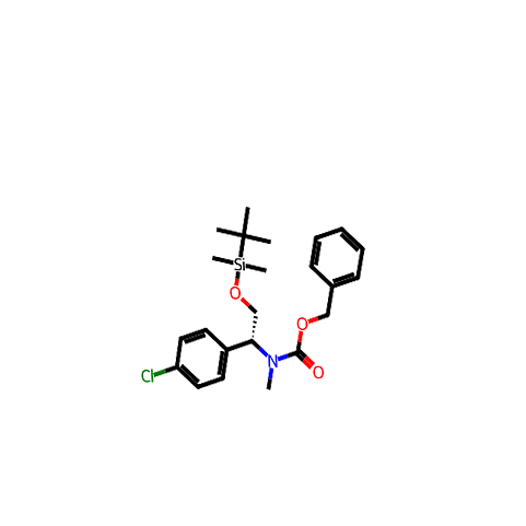 CN(C(=O)OCc1ccccc1)[C@@H](CO[Si](C)(C)C(C)(C)C)c1ccc(Cl)cc1